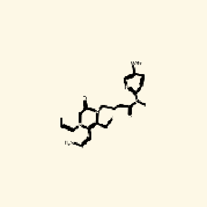 C/C=C\N1CC(=O)N(CCCC(=O)N(C)c2ccc(OC)cn2)C(CI)=C1/C=C\N